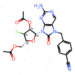 CC(=O)OC[C@H]1O[C@@H](n2c(=O)n(Cc3ccc(C#N)cc3)c3cnc(N)nc32)[C@H](OC(C)=O)[C@@H]1F